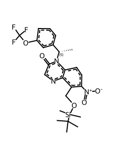 C[C@@H](c1cccc(OC(F)(F)F)c1)n1c(=O)cnc2c(CO[Si](C)(C)C(C)(C)C)c([N+](=O)[O-])ccc21